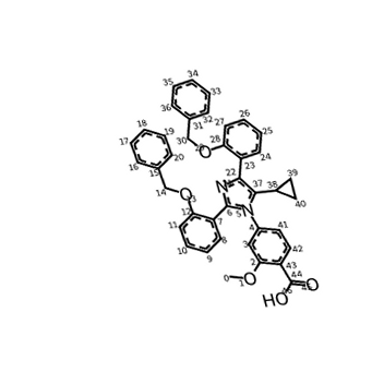 COc1cc(-n2c(-c3ccccc3OCc3ccccc3)nc(-c3ccccc3OCc3ccccc3)c2C2CC2)ccc1C(=O)O